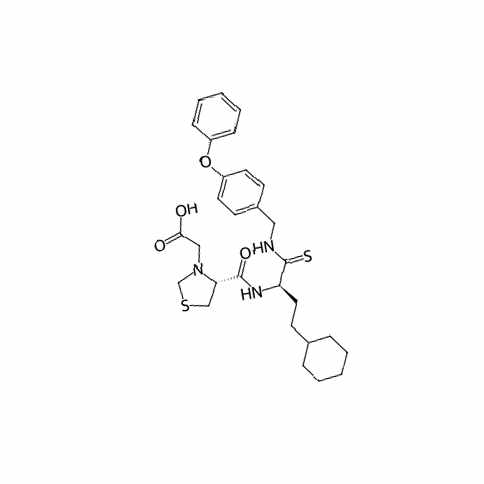 O=C(O)CN1CSC[C@H]1C(=O)N[C@H](CCC1CCCCC1)C(=S)NCc1ccc(Oc2ccccc2)cc1